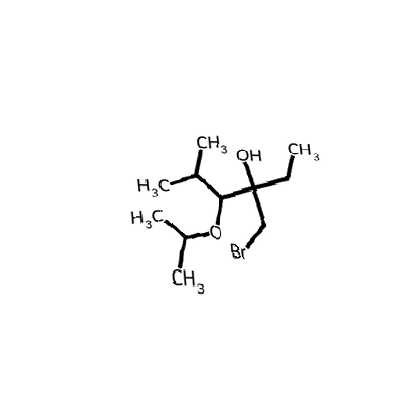 CCC(O)(CBr)C(OC(C)C)C(C)C